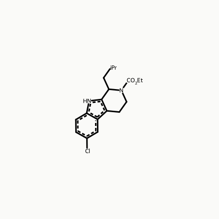 CCOC(=O)N1CCc2c([nH]c3ccc(Cl)cc23)C1CC(C)C